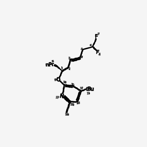 CCC[C@@H](C/C=C/CC(F)F)Oc1cc(C(C)(C)C)cc(C)n1